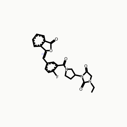 CCN1CC(=O)N(C2CCN(C(=O)c3cc(/C=C4\OC(=O)c5ccccc54)ccc3F)C2)C1=O